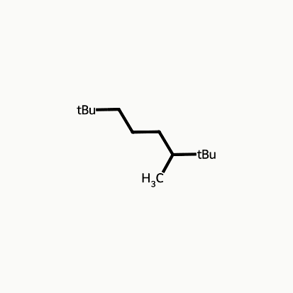 CC(CCCC(C)(C)C)C(C)(C)C